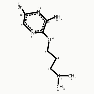 CN(C)CCCOc1ncc(Br)nc1N